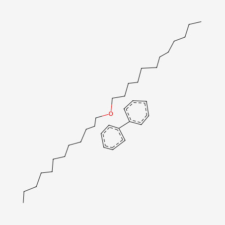 CCCCCCCCCCCCOCCCCCCCCCCCC.c1ccc(-c2ccccc2)cc1